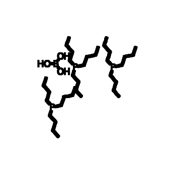 CCCCP(CCCC)CCCC.CCCCP(CCCC)CCCC.CCCCP(CCCC)CCCC.OB(O)O